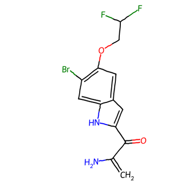 C=C(N)C(=O)c1cc2cc(OCC(F)F)c(Br)cc2[nH]1